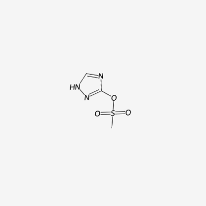 CS(=O)(=O)Oc1nc[nH]n1